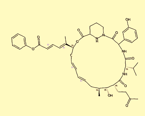 CC(=O)CC[C@H]1C(=O)N[C@@H](C(C)C)C(=O)NC(c2cccc(O)c2)C(=O)N2CCCC(N2)C(=O)O[C@H](/C(C)=C/C=C/C(=O)Oc2ccccc2)C/C=C/C=C/C[C@H](C)[C@H]1O